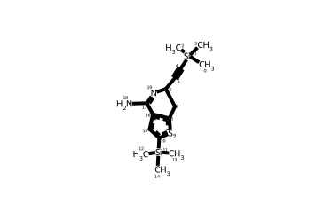 C[Si](C)(C)C#CC1Cc2sc([Si](C)(C)C)cc2C(N)=N1